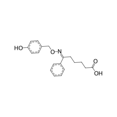 O=C(O)CCCCC(=NOCc1ccc(O)cc1)c1ccccc1